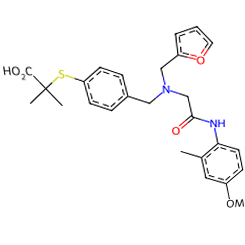 COc1ccc(NC(=O)CN(Cc2ccc(SC(C)(C)C(=O)O)cc2)Cc2ccco2)c(C)c1